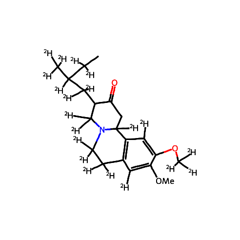 [2H]c1c(OC([2H])([2H])[2H])c(OC)c([2H])c2c1C1([2H])CC(=O)C(C([2H])([2H])C([2H])(C([2H])([2H])[2H])C([2H])([2H])C)C([2H])([2H])N1C([2H])([2H])C2([2H])[2H]